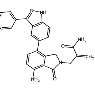 C=C(CN1Cc2c(-c3ccc4[nH]nc(-c5ccccc5)c4c3)ccc(N)c2C1=O)C(N)=O